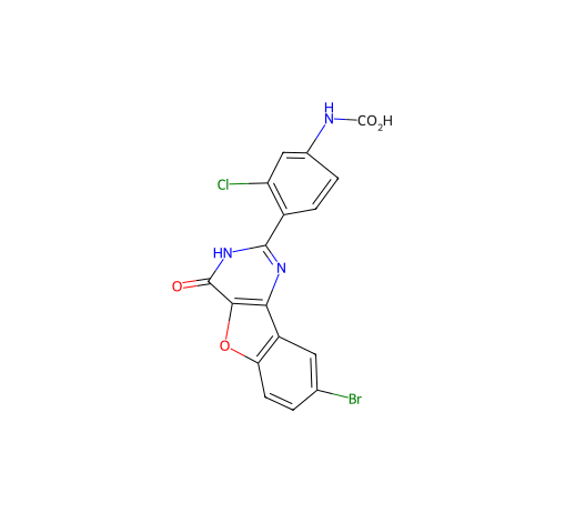 O=C(O)Nc1ccc(-c2nc3c(oc4ccc(Br)cc43)c(=O)[nH]2)c(Cl)c1